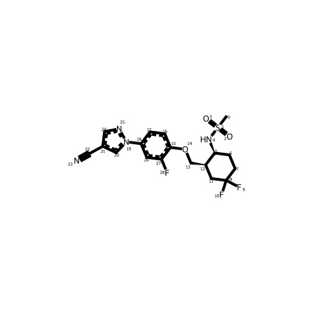 CS(=O)(=O)N[C@H]1CCC(F)(F)C[C@H]1COc1ccc(-n2cc(C#N)cn2)cc1F